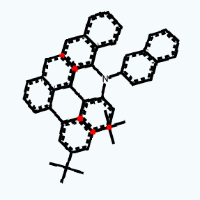 CC(C)(C)c1cc(-c2cccc3cccc(-c4ccccc4N(c4ccc5ccccc5c4)c4cccc5ccccc45)c23)cc(C(C)(C)C)c1